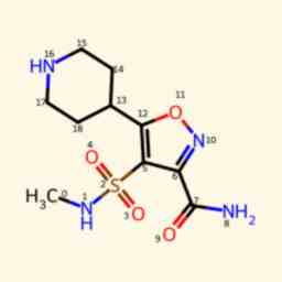 CNS(=O)(=O)c1c(C(N)=O)noc1C1CCNCC1